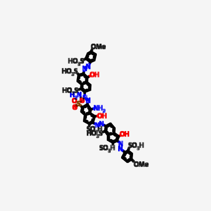 COc1ccc(N=Nc2c(S(=O)(=O)O)cc3c(S(=O)(=O)O)c(N=Nc4c(S(=O)(=O)ON)cc5cc(S(=O)(=O)O)c(N=Nc6ccc7c(O)c(N=Nc8ccc(OC)cc8S(=O)(=O)O)c(S(=O)(=O)O)cc7c6S(=O)(=O)O)c(O)c5c4N)ccc3c2O)c(S(=O)(=O)O)c1